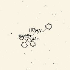 COC(NCC(O)CNCc1ccccc1)(OC)C(c1ccccc1)(c1ccccc1)c1ccccc1